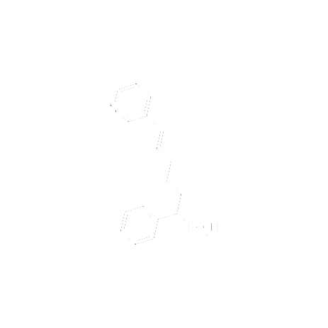 O=C(O)C(CCC/C=C/c1cccnc1)c1ccccc1